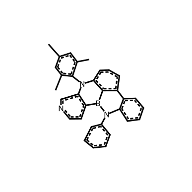 Cc1cc(C)c(N2c3cnccc3B3c4c(cccc42)-c2ccccc2N3c2ccccc2)c(C)c1